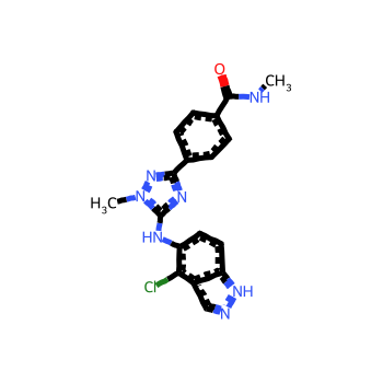 CNC(=O)c1ccc(-c2nc(Nc3ccc4[nH]ncc4c3Cl)n(C)n2)cc1